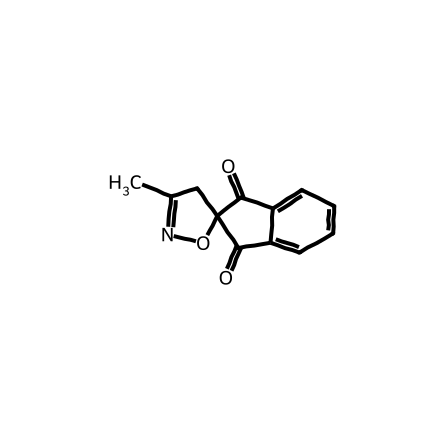 CC1=NOC2(C1)C(=O)c1ccccc1C2=O